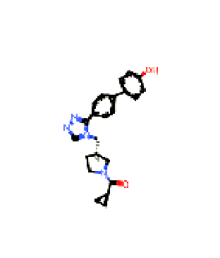 O=C(C1CC1)N1CC[C@H](Cn2cnnc2-c2ccc(-c3ccc(O)cc3)cc2)C1